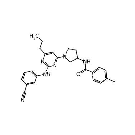 CCCc1cc(N2CCC(NC(=O)c3ccc(F)cc3)C2)nc(Nc2cccc(C#N)c2)n1